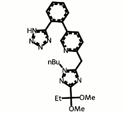 CCCCn1nc(C(CC)(OC)OC)nc1Cc1ccc(-c2ccccc2-c2nnn[nH]2)cn1